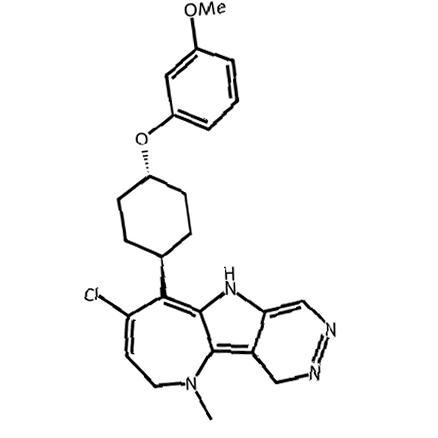 COc1cccc(O[C@H]2CC[C@H](C3=c4[nH]c5c(c4N(C)CC=C3Cl)CN=NC=5)CC2)c1